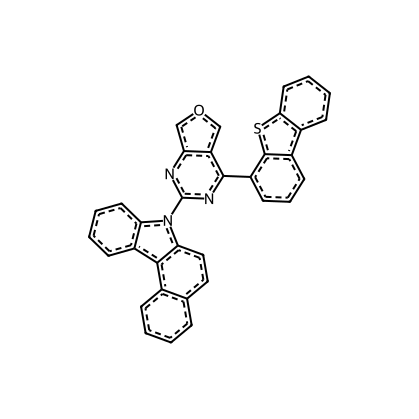 c1ccc2c(c1)ccc1c2c2ccccc2n1-c1nc(-c2cccc3c2sc2ccccc23)c2cocc2n1